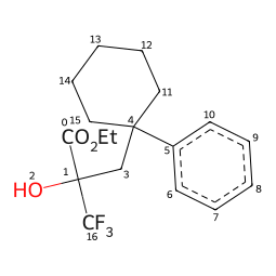 CCOC(=O)C(O)(CC1(c2ccccc2)CCCCC1)C(F)(F)F